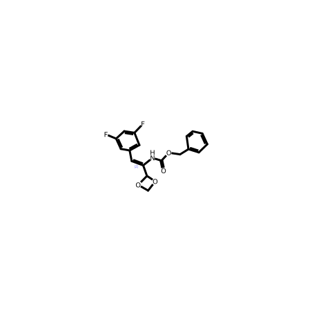 O=C(N/C(=C\c1cc(F)cc(F)c1)C1OCO1)OCc1ccccc1